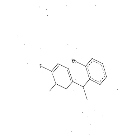 CCc1ccccc1C(C)C1=CC=C(F)C(C)C1